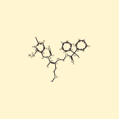 COCC/C(SCOC(=O)C(C)(c1ccccc1)c1ccccc1)=C(\C)N(C=O)Cc1cnc(C)nc1N